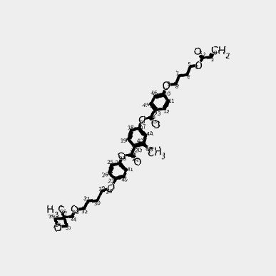 C=CC(=O)OCCCCOc1ccc(C(=O)Oc2ccc(C(=O)Oc3ccc(OCCCCOCC4(C)COC4)cc3)c(C)c2)cc1